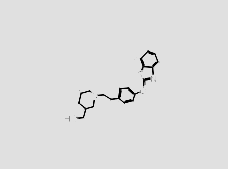 OCC1CCCN(CCc2ccc(Oc3nc4ccccc4s3)cc2)C1